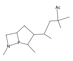 CC(=O)C(C)(C)CC(C)C1CC2CN(C)P2C1C